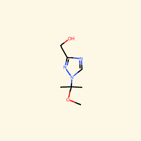 COC(C)(C)n1cnc(CO)n1